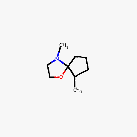 CC1CCCC12OCCN2C